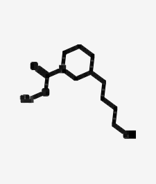 CC(C)(C)OC(=O)N1CCCC(CCCCO)C1